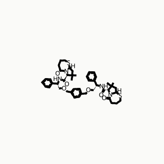 CC1(C)C[C@@H]2SCCCC(=O)N2[C@@H]1C(=O)N[C@H](COCc1ccc(COC[C@@H](NC(=O)[C@H]2N3C(=O)CCCS[C@H]3CC2(C)C)c2ccccc2)cc1)c1ccccc1